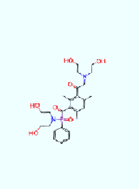 Cc1cc(C)c(C(=O)P(=O)(c2ccccc2)N(CCO)CCO)c(C)c1C(=O)CN(CCO)CCO